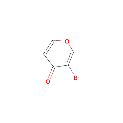 O=c1ccocc1Br